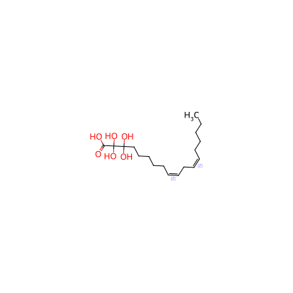 CCCCC/C=C\C/C=C\CCCCCC(O)(O)C(O)(O)C(=O)O